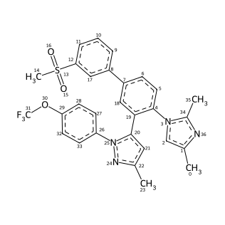 Cc1cn(-c2ccc(-c3cccc(S(C)(=O)=O)c3)cc2-c2cc(C)nn2-c2ccc(OC(F)(F)F)cc2)c(C)n1